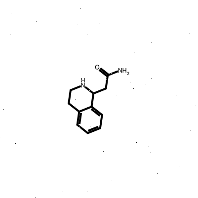 NC(=O)CC1NCCc2ccccc21